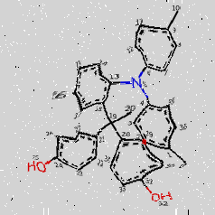 Cc1ccc(N(c2ccc(C)cc2)c2ccccc2C(C)(c2ccc(O)cc2)c2ccc(O)cc2)cc1